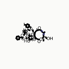 CC[C@H]1OC(=O)C[C@@H](O)[C@H](C)[C@@H](O[C@@H]2O[C@H](C)[C@@H](O)C(N(C)C)C2O)[C@@H](CCN(CCn2cc(COC(=O)c3ccccc3)nn2)Cc2ccc(I)cc2)C[C@@H](C)C(=O)/C=C/C(C)=C/[C@@H]1CCO